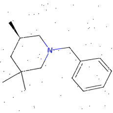 C[C@H]1CN(Cc2ccccc2)CC(C)(C)C1